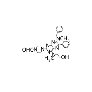 CN(Cc1ccccc1)c1nc2nc(N3CCN(C=O)CC3)nc(N(C)CCO)c2nc1-c1ccccc1